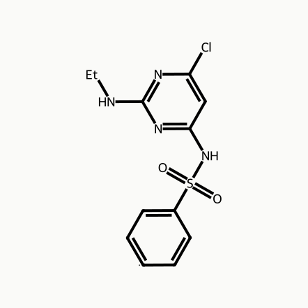 CCNc1nc(Cl)cc(NS(=O)(=O)c2cc[c]cc2)n1